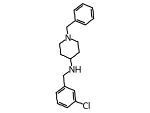 Clc1cccc(CNC2CCN(Cc3ccccc3)CC2)c1